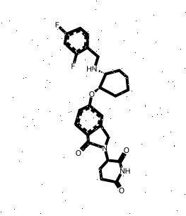 O=C1CCC(N2Cc3cc(O[C@@H]4CCCC[C@H]4NCc4ccc(F)cc4F)ccc3C2=O)C(=O)N1